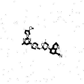 CO[C@@H]1CCN(c2nc(C)cc(N3CCN(C[C@H]4CN(c5ccc(C#N)c6ncccc56)C[C@@H](C)O4)CC3)n2)C1